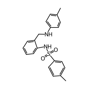 Cc1ccc(NCc2ccccc2NS(=O)(=O)c2ccc(C)cc2)cc1